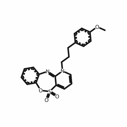 COc1ccc(CCCN2C=CC=C3C2=Nc2ccccc2OS3(=O)=O)cc1